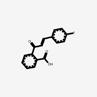 O=C(O)c1ccccc1C(=O)C=Cc1ccc(F)cc1